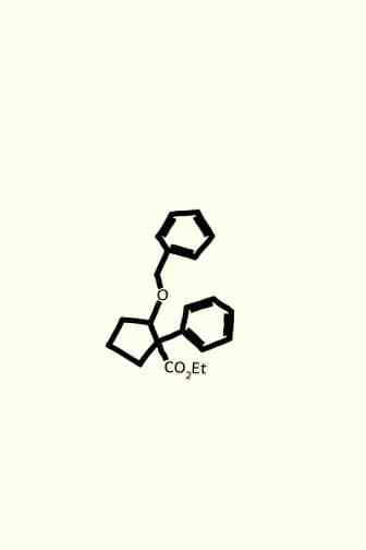 CCOC(=O)C1(c2ccccc2)CCCC1OCc1ccccc1